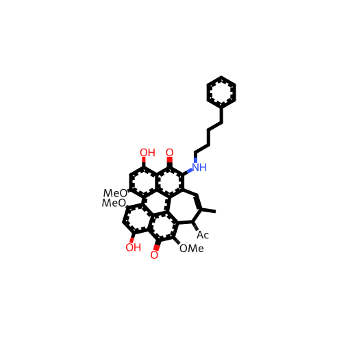 COc1c2c3c4c(c(NCCCCc5ccccc5)c(=O)c5c(O)cc(OC)c(c6c(OC)cc(O)c(c1=O)c63)c54)C=C(C)C2C(C)=O